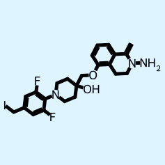 C=C1c2cccc(OCC3(O)CCN(c4c(F)cc(CI)cc4F)CC3)c2CCN1N